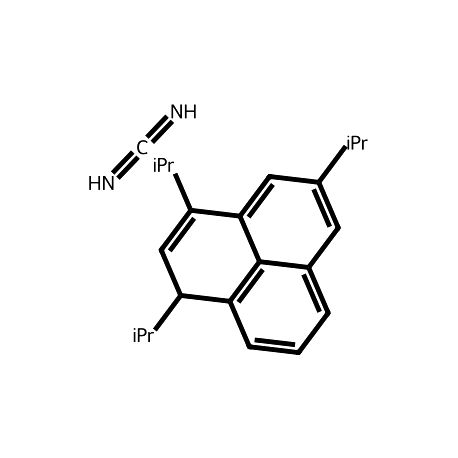 CC(C)C1=CC(C(C)C)c2cccc3cc(C(C)C)cc1c23.N=C=N